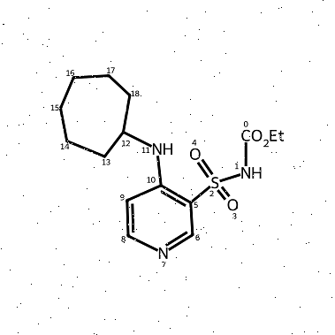 CCOC(=O)NS(=O)(=O)c1cnccc1NC1CCCCCC1